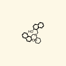 Oc1ccc2ccccc2c1CN(Cc1c(O)ccc2ccccc12)C1CCCCC1